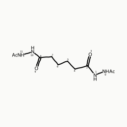 CC(=O)NNC(=O)CCCCC(=O)NNC(C)=O